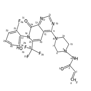 C=CC(=O)NN1CCN(c2ncnc3c(=O)n(-c4c(O)cccc4F)c(C(F)(F)F)cc23)CC1